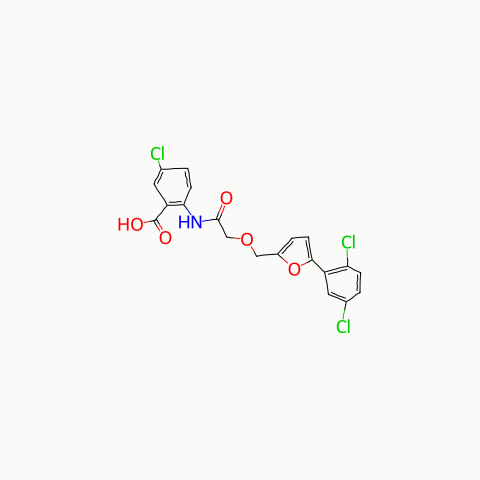 O=C(COCc1ccc(-c2cc(Cl)ccc2Cl)o1)Nc1ccc(Cl)cc1C(=O)O